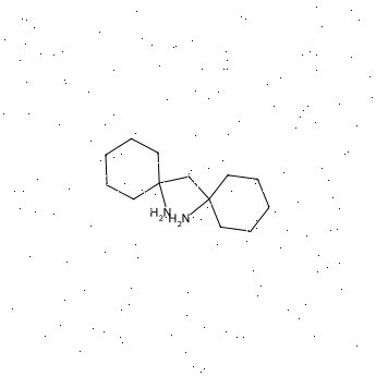 NC1([CH]C2(N)CCCCC2)CCCCC1